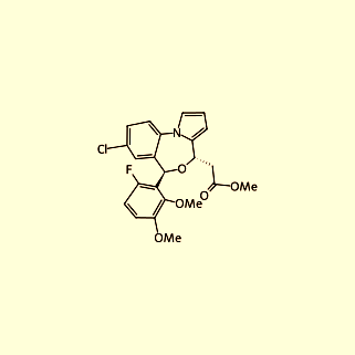 COC(=O)C[C@@H]1O[C@@H](c2c(F)ccc(OC)c2OC)c2cc(Cl)ccc2-n2cccc21